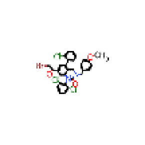 COc1ccc(CN2Cc3c(-c4ccccc4Cl)cc(C(=O)CBr)cc3N(c3c(Cl)cccc3Cl)C2=O)cc1